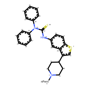 CCCCCN1CCC(c2csc3ccc(NC(=S)N(c4ccccc4)c4ccccc4)cc23)CC1